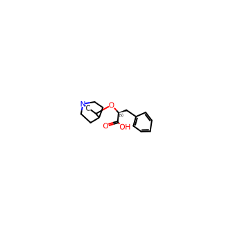 O=C(O)[C@H](Cc1ccccc1)OC1CN2CCC1CC2